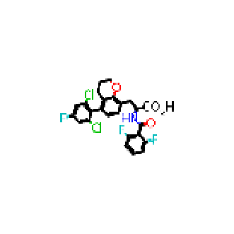 O=C(N[C@@H](Cc1ccc(-c2c(Cl)cc(F)cc2Cl)c2c1OCCC2)C(=O)O)c1c(F)cccc1F